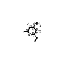 CC[C@H]1O[C@@H](C)[C@H](C)[C@@H](N)[C@@H]1C